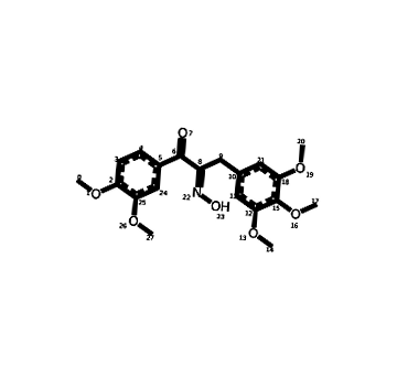 COc1ccc(C(=O)C(Cc2cc(OC)c(OC)c(OC)c2)=NO)cc1OC